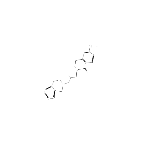 CC(=O)Nc1ccc2c(c1)CCN(CC(O)CN1CCc3ccccc3C1)C2=O